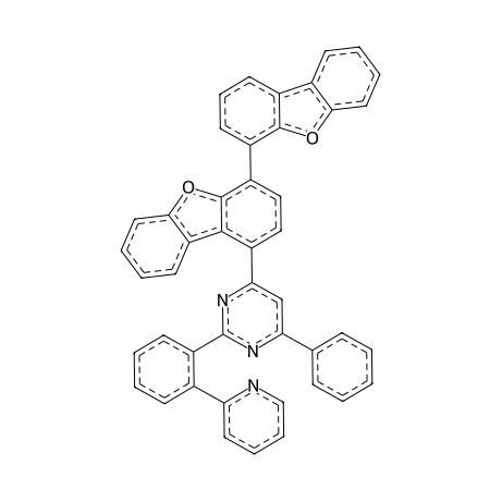 c1ccc(-c2cc(-c3ccc(-c4cccc5c4oc4ccccc45)c4oc5ccccc5c34)nc(-c3ccccc3-c3ccccn3)n2)cc1